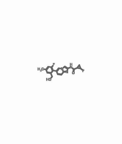 Cc1cc(F)c(-c2ccc3nc(NC(=O)C4CC4F)cn3c2)c(CO)c1